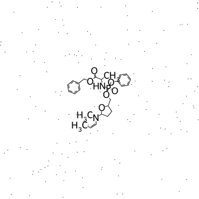 C/C=C\N(C)C1CCC(COP(=O)(NC(C)C(=O)OCc2ccccc2)Oc2ccccc2)O1